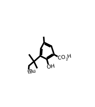 Cc1cc(C(=O)O)c(O)c(C(C)(C)CC(C)(C)C)c1